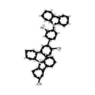 N#Cc1ccc2c(c1)c1ccccc1n2-c1ccccc1-c1ccc(C#N)c(-c2ccc(-n3c4ccccc4c4ccccc43)c(C#N)c2)c1